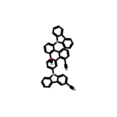 N#Cc1ccc2c(c1)c1ccccc1n2-c1cccc(-c2c(C#N)cccc2-c2c(C#N)cccc2-n2c3ccccc3c3ccccc32)c1